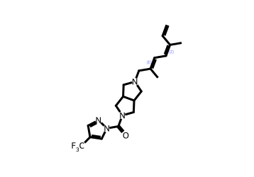 C=C/C(C)=C\C=C(/C)CN1CC2CN(C(=O)n3cc(C(F)(F)F)cn3)CC2C1